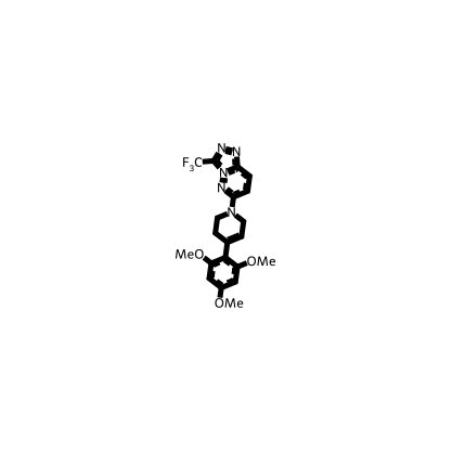 COc1cc(OC)c(C2=CCN(c3ccc4nnc(C(F)(F)F)n4n3)CC2)c(OC)c1